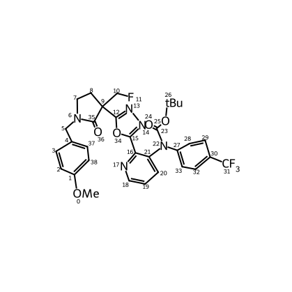 COc1ccc(CN2CCC(CF)(c3nnc(-c4ncccc4N(C(=O)OC(C)(C)C)c4ccc(C(F)(F)F)cc4)o3)C2=O)cc1